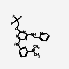 CN(C)c1cccc(Nc2nc(NCc3ccccn3)nc(OCC(F)(F)F)n2)c1